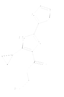 CCOC(=O)c1nc(-c2nccs2)[nH]c1C1CC1